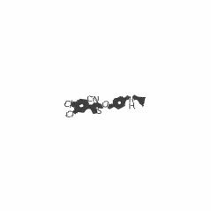 N#Cc1c(-c2ccc(Cl)c(Cl)c2)csc1OCc1ccc(CNCC2CC2)cc1